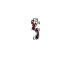 CCN1Cc2cc(C3CCC(C4(CC5CCN(CCCOc6ccc(C#N)cc6)CC5)NCCc5cc(C6CCC(C7(CC8CCN(CCOc9ccc(C#N)cc9)CC8)NCCc8ccccc87)C6)ccc54)C3)ccc2C(C2CCCC2)(C2CCN(CC3CN(c4ccc(S(=O)(=O)c5cnn(CC)c5)cc4)C3)CC2)C1